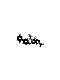 CC(=O)N1CCC2(C[C@@H](Cc3ccc(-c4cc(Cl)ccc4F)cc3)N(BC=O)C2=O)C1